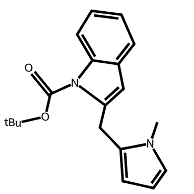 Cn1cccc1Cc1cc2ccccc2n1C(=O)OC(C)(C)C